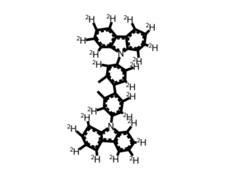 [2H]c1c([2H])c(-n2c3c([2H])c([2H])c([2H])c([2H])c3c3c([2H])c([2H])c([2H])c([2H])c32)c([2H])c(C)c1-c1c([2H])c([2H])c(-n2c3c([2H])c([2H])c([2H])c([2H])c3c3c([2H])c([2H])c([2H])c([2H])c32)c([2H])c1C